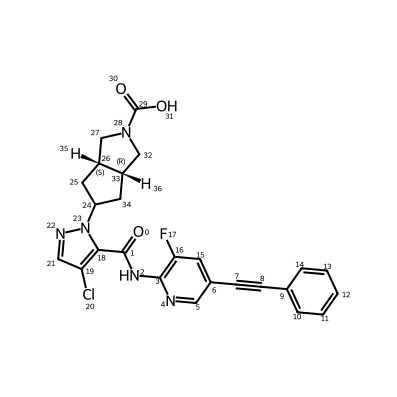 O=C(Nc1ncc(C#Cc2ccccc2)cc1F)c1c(Cl)cnn1C1C[C@@H]2CN(C(=O)O)C[C@@H]2C1